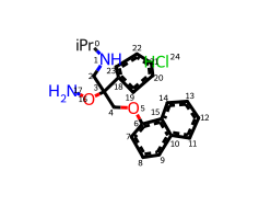 CC(C)NCC(COc1cccc2ccccc12)(ON)c1ccccc1.Cl